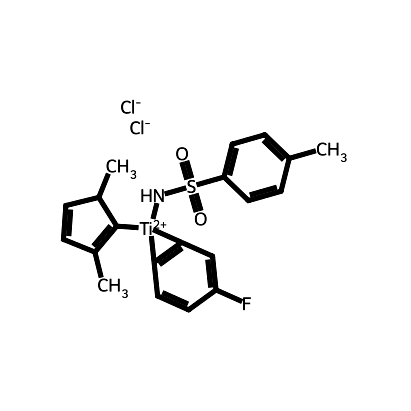 CC1=[C]([Ti+2]2([NH]S(=O)(=O)c3ccc(C)cc3)[c]3ccc(F)c[c]32)C(C)C=C1.[Cl-].[Cl-]